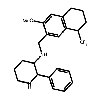 COc1cc2c(cc1CNC1CCCNC1c1ccccc1)C(C(F)(F)F)CCC2